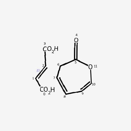 O=C(O)/C=C/C(=O)O.O=C1CC=CC=CO1